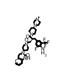 CN1CCN(C2CCN(C(=O)[C@H](CC(=O)N3CCC(N4CCc5ccccc5NC4=O)CC3)Cc3cc(F)c(N)c(C(F)(F)F)c3)CC2)CC1